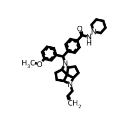 C=CCN1C2CCC3N(C(c4ccc(C(=O)NN5CCCCC5)cc4)c4cccc(OC)c4)C4CCC1C234